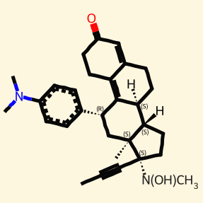 CC#C[C@]1(N(C)O)CC[C@H]2[C@@H]3CCC4=CC(=O)CCC4=C3[C@@H](c3ccc(N(C)C)cc3)C[C@@]21C